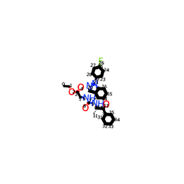 CCOC(=O)CNC(=O)N[C@@H](C)[C@@H](Oc1ccc2c(cnn2-c2ccc(F)cc2)c1)c1ccccc1